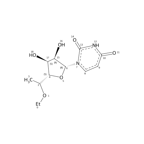 CCOC(C)[C@H]1O[C@@H](n2ccc(=O)[nH]c2=O)[C@H](O)[C@@H]1O